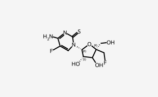 Nc1nc(=S)n([C@@H]2O[C@@](CO)(CF)C(O)[C@@H]2O)cc1F